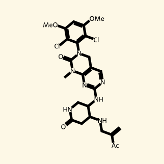 C=C(CNC1CC(=O)NCC1Nc1ncc2c(n1)N(C)C(=O)N(c1c(Cl)c(OC)cc(OC)c1Cl)C2)C(C)=O